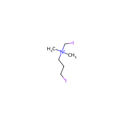 C[N+](C)(CI)CCCI